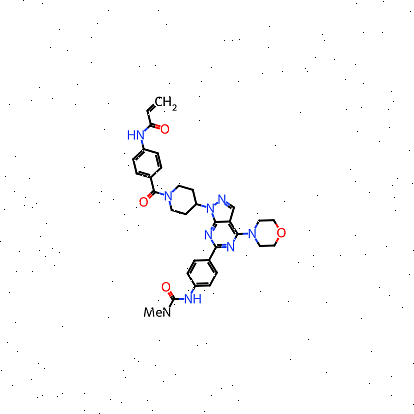 C=CC(=O)Nc1ccc(C(=O)N2CCC(n3ncc4c(N5CCOCC5)nc(-c5ccc(NC(=O)NC)cc5)nc43)CC2)cc1